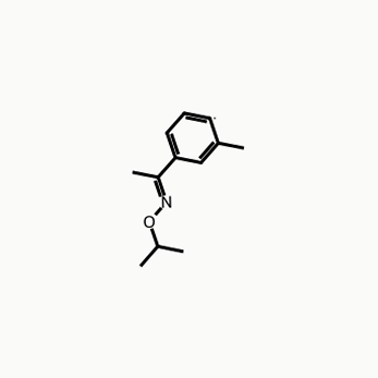 CC(=NOC(C)C)c1cc[c]c(C)c1